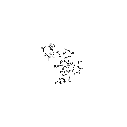 COc1cc([C@H](c2ccc(Cl)c(F)c2)[C@@H](C(=O)Nc2cccc(F)c2CCC2CNC3CCCS(=O)(=O)N2C3)N(C)C(=O)O)ccn1